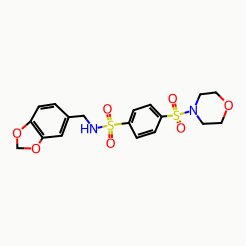 O=S(=O)(NCc1ccc2c(c1)OCO2)c1ccc(S(=O)(=O)N2CCOCC2)cc1